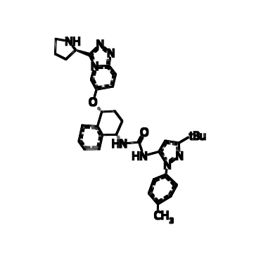 Cc1ccc(-n2nc(C(C)(C)C)cc2NC(=O)N[C@H]2CC[C@@H](Oc3ccc4nnc([C@H]5CCCN5)n4c3)c3ccccc32)cc1